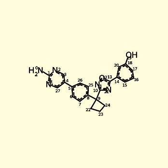 Nc1ncc(-c2ccc(C3(c4noc(-c5cccc(O)c5)n4)CCC3)cc2)cn1